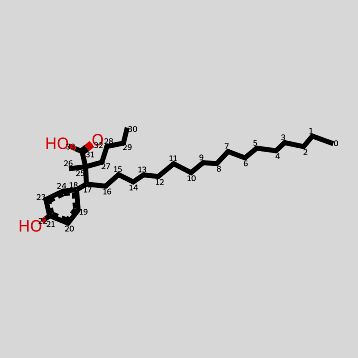 CCCCCCCCCCCCCCCCCC(c1ccc(O)cc1)C(C)(CCCC)C(=O)O